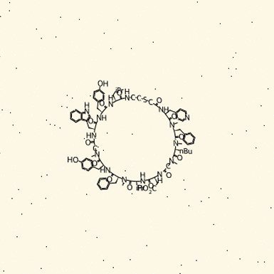 CCCC[C@H]1C(=O)N(C)CC(=O)N[C@@H](CC(=O)O)C(=O)N[C@@H](C(C)C)C(=O)N(C)[C@@H](Cc2ccccc2)C(=O)NC(Cc2ccc(O)cc2)C(=O)N(C)CC(=O)N[C@@H](Cc2c[nH]c3ccccc23)C(=O)N[C@@H](Cc2ccc(O)cc2)C(=O)N[C@@H](CC(C)C)C(=O)NCCSCC(=O)NC(Cc2ccncc2)C(=O)N(C)[C@@H](Cc2ccccc2)C(=O)N1C